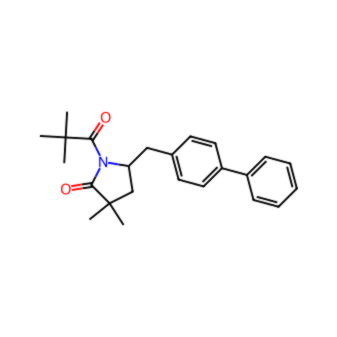 CC(C)(C)C(=O)N1C(=O)C(C)(C)CC1Cc1ccc(-c2ccccc2)cc1